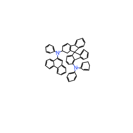 C1=CC(N(c2ccccc2)c2cccc3c2-c2ccccc2C32C3=C(C=CC(N(c4ccccc4)c4cc5ccccc5c5ccccc45)C3)c3ccccc32)=CCC1